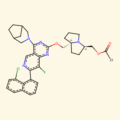 CCC(=O)OC[C@H]1CC[C@@]2(COc3nc(N4CC5CCC(C5)C4)c4cnc(-c5cccc6cccc(Cl)c56)c(F)c4n3)CCCN12